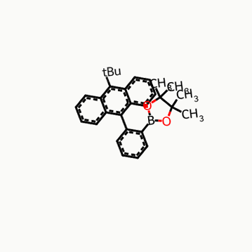 CC(C)(C)c1c2ccccc2c(-c2ccccc2B2OC(C)(C)C(C)(C)O2)c2ccccc12